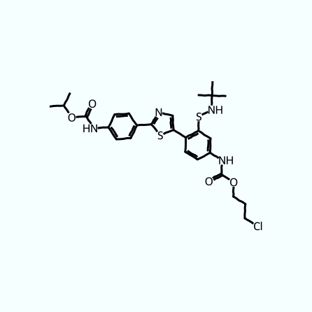 CC(C)OC(=O)Nc1ccc(-c2ncc(-c3ccc(NC(=O)OCCCCl)cc3SNC(C)(C)C)s2)cc1